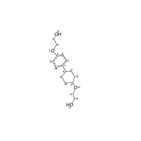 OCCOc1ccc(C2CCC(OCCO)CC2)cc1